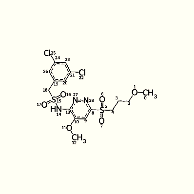 COCCCS(=O)(=O)c1cc(OC)c(NS(=O)(=O)Cc2cc(Cl)cc(Cl)c2)nn1